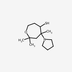 CC1(C)CC(C)(N2CCCC2)C(S)CCO1